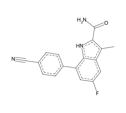 Cc1c(C(N)=O)[nH]c2c(-c3ccc(C#N)cc3)cc(F)cc12